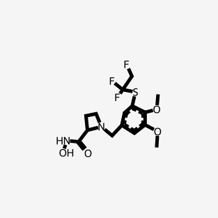 COc1cc(CN2CCC2C(=O)NO)cc(SC(F)(F)CF)c1OC